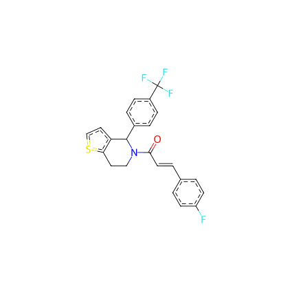 O=C(C=Cc1ccc(F)cc1)N1CCc2sccc2C1c1ccc(C(F)(F)F)cc1